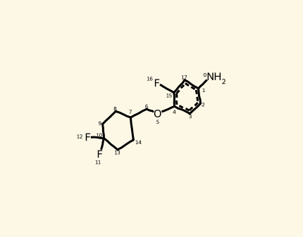 Nc1ccc(OCC2CCC(F)(F)CC2)c(F)c1